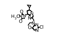 CN1C(=O)CN(c2cc(C3CC3)cn3cc(CN4CCOc5cnc(Cl)nc54)nc23)C1=O